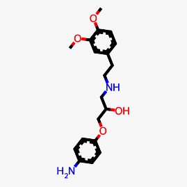 COc1ccc(CCNCC(O)COc2ccc(N)cc2)cc1OC